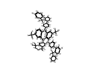 CC(C)(C)c1ccc2c(c1)B1c3cc4c(cc3N(c3ccc(-c5cccc6c5C(C)(C)c5ccccc5-6)cc3)c3cc(C(C)(C)C)cc(c31)N2c1ccc(-c2cccc3c2C(C)(C)c2ccccc2-3)cc1)C(C)(C)CCC4(C)C